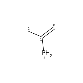 C=C(C)P